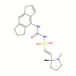 CN1CCC[C@]1(C)/C=C/S(=O)(=O)NC(=O)Nc1c2c(cc3c1CCC3)CC=C2